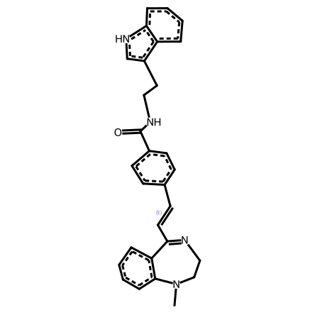 CN1CCN=C(/C=C/c2ccc(C(=O)NCCc3c[nH]c4ccccc34)cc2)c2ccccc21